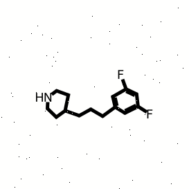 Fc1cc(F)cc(CCCC2CCNCC2)c1